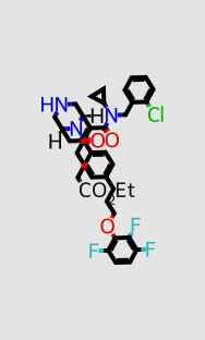 CCOC(=O)CCCC(=O)N1[C@H]2CNC[C@@H]1C(C(=O)N(Cc1ccccc1Cl)C1CC1)=C(c1ccc(CCCOc3c(F)ccc(F)c3F)cc1)C2